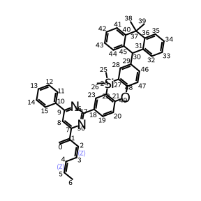 C=C(/C=C\C=C/C)c1cc(-c2ccccc2)nc(-c2ccc3c(c2)[Si](C)(C)c2cc(C4c5ccccc5C(C)(C)c5ccccc54)ccc2O3)n1